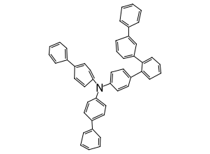 c1ccc(-c2ccc(N(c3ccc(-c4ccccc4)cc3)c3ccc(-c4ccccc4-c4cccc(-c5ccccc5)c4)cc3)cc2)cc1